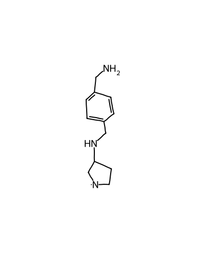 NCc1ccc(CNC2CC[N]C2)cc1